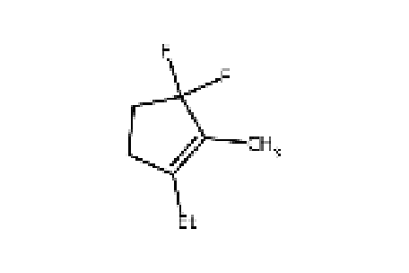 CCC1=C(C)C(F)(F)CC1